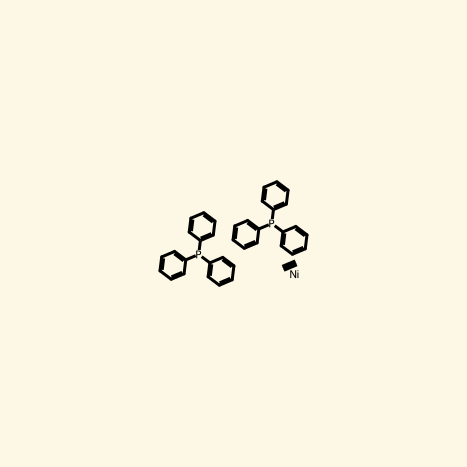 C#C.[Ni].c1ccc(P(c2ccccc2)c2ccccc2)cc1.c1ccc(P(c2ccccc2)c2ccccc2)cc1